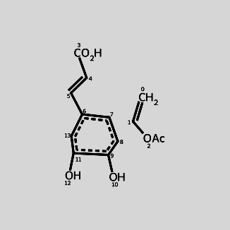 C=COC(C)=O.O=C(O)C=Cc1ccc(O)c(O)c1